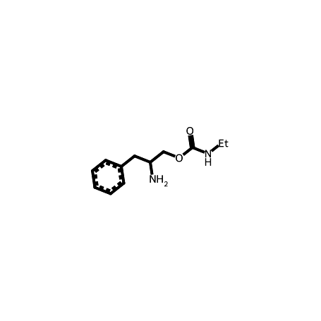 CCNC(=O)OCC(N)Cc1ccccc1